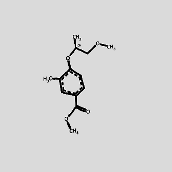 COC[C@H](C)Oc1ccc(C(=O)OC)cc1C